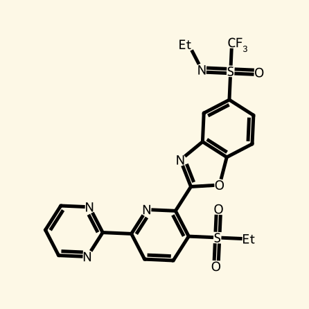 CCN=S(=O)(c1ccc2oc(-c3nc(-c4ncccn4)ccc3S(=O)(=O)CC)nc2c1)C(F)(F)F